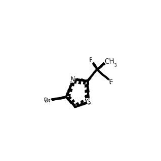 CC(F)(F)c1nc(Br)cs1